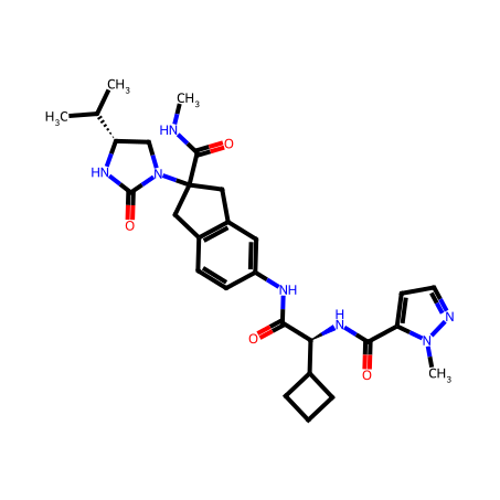 CNC(=O)C1(N2C[C@@H](C(C)C)NC2=O)Cc2ccc(NC(=O)[C@@H](NC(=O)c3ccnn3C)C3CCC3)cc2C1